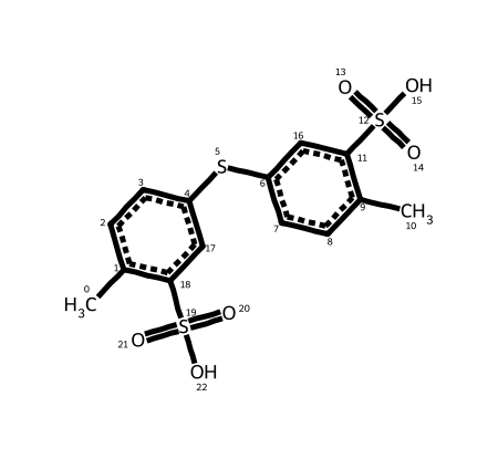 Cc1ccc(Sc2ccc(C)c(S(=O)(=O)O)c2)cc1S(=O)(=O)O